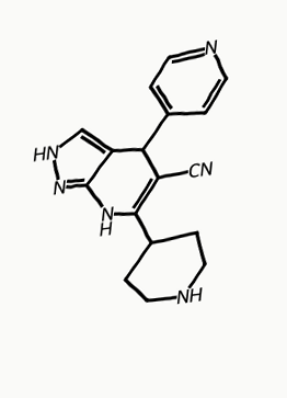 N#CC1=C(C2CCNCC2)Nc2n[nH]cc2C1c1ccncc1